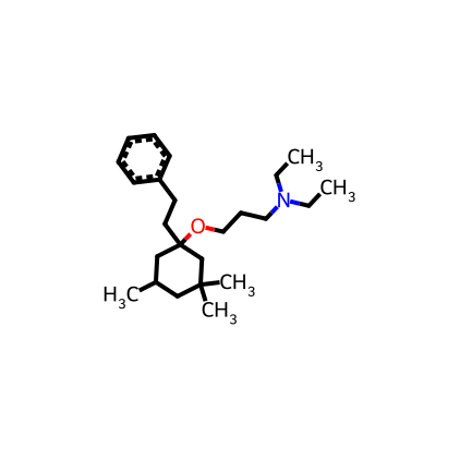 CCN(CC)CCCOC1(CCc2ccccc2)CC(C)CC(C)(C)C1